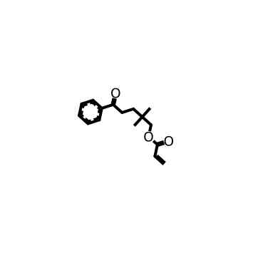 C=CC(=O)OCC(C)(C)CCC(=O)c1ccccc1